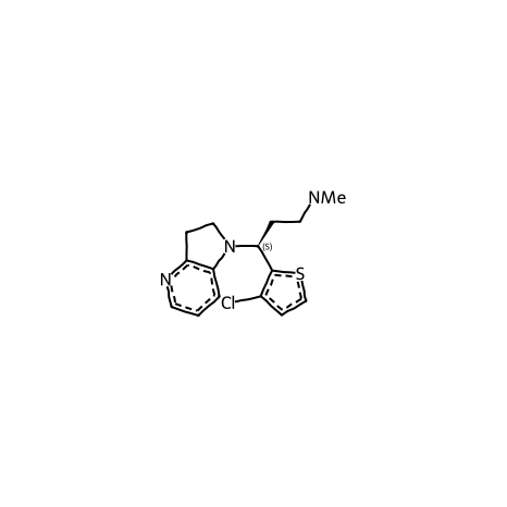 CNCC[C@@H](c1sccc1Cl)N1CCc2ncccc21